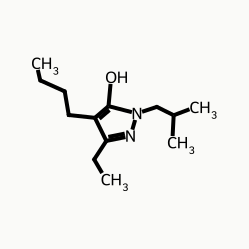 CCCCc1c(CC)nn(CC(C)C)c1O